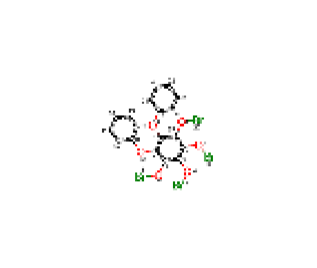 BrOc1c(OBr)c(OBr)c(Oc2ccccc2)c(Oc2ccccc2)c1OBr